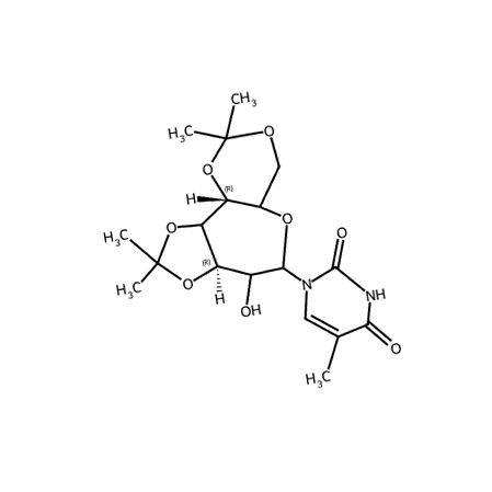 Cc1cn(C2OC3COC(C)(C)O[C@H]3C3OC(C)(C)O[C@@H]3C2O)c(=O)[nH]c1=O